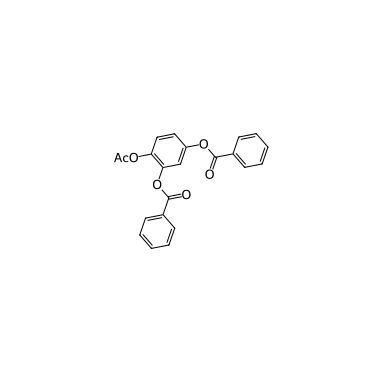 CC(=O)Oc1ccc(OC(=O)c2ccccc2)cc1OC(=O)c1ccccc1